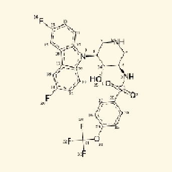 O=S(=O)(N[C@@H]1CNC[C@H](n2c3ccc(F)cc3c3cc(F)ccc32)[C@H]1O)c1ccc(OC(F)(F)F)cc1